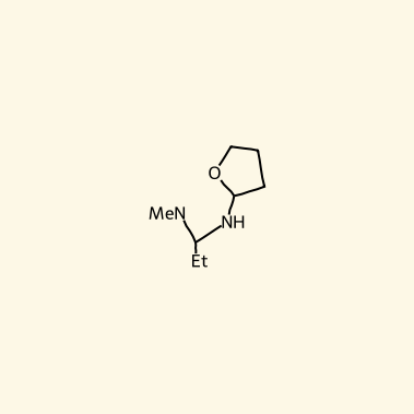 CCC(NC)NC1CCCO1